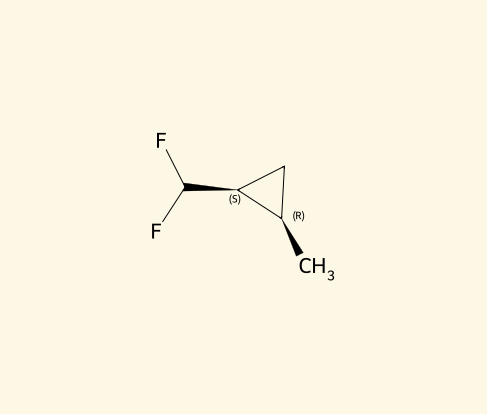 C[C@@H]1C[C@@H]1C(F)F